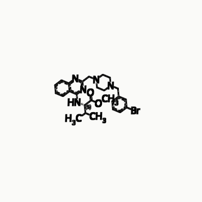 COC(=O)[C@@H](Nc1nc(CN2CCN(Cc3cccc(Br)c3)CC2)nc2ccccc12)C(C)C